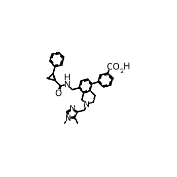 Cc1c(CN2CCc3c(-c4cccc(C(=O)O)c4)ccc(CNC(=O)C4CC4c4ccccc4)c3C2)ncn1C